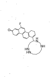 O=C1C=c2c(F)cc3c4c(ccc3c2=CC1)C(C1CCNNCCCCNCN1)=CCC4